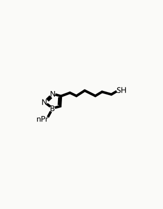 CCCB1C=C(CCCCCCS)N=N1